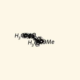 COc1cc(Cl)c(S(=O)(=O)C(C)CCOCC(=O)N2CCN(C3CCN(C)CC3)CC2)c(Cl)c1